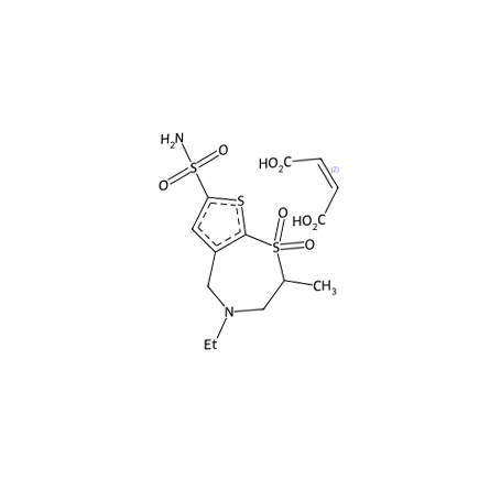 CCN1Cc2cc(S(N)(=O)=O)sc2S(=O)(=O)C(C)C1.O=C(O)/C=C\C(=O)O